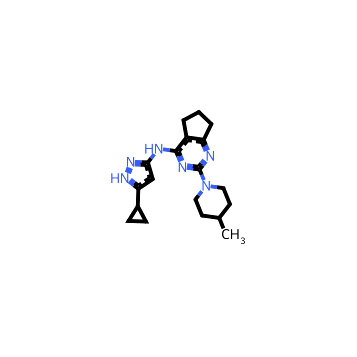 CC1CCN(c2nc3c(c(Nc4cc(C5CC5)[nH]n4)n2)CCC3)CC1